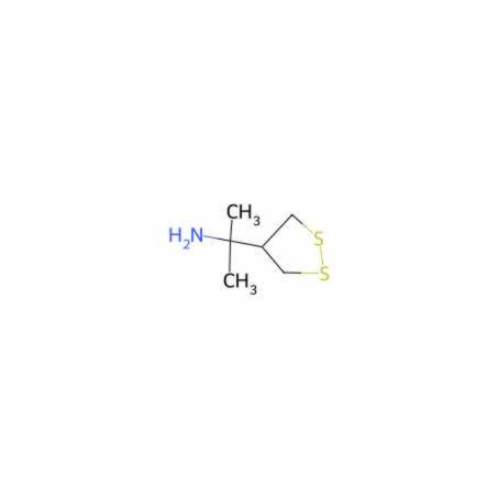 CC(C)(N)C1CSSC1